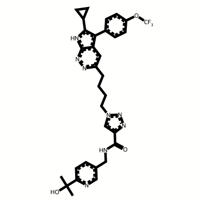 CC(C)(O)c1ccc(CNC(=O)c2cn(CCCCc3cc4c(-c5ccc(OC(F)(F)F)cc5)c(C5CC5)[nH]c4nn3)nn2)cn1